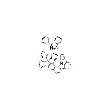 c1ccc(-c2nc(-c3ccc4c(c3)C(c3ccccc3)(c3ccccc3)c3ccc5ccc6c7cccc8c9ccccc9n(c87)c6c5c3-4)nc3ccccc23)cc1